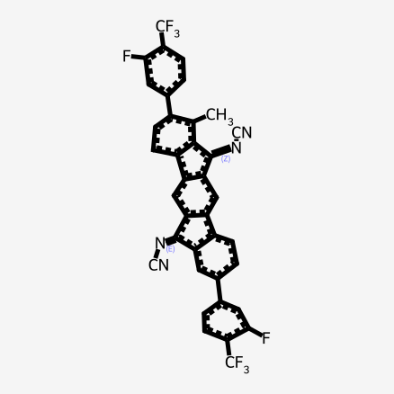 Cc1c(-c2ccc(C(F)(F)F)c(F)c2)ccc2c1/c(=N\C#N)c1cc3c(cc12)/c(=N/C#N)c1cc(-c2ccc(C(F)(F)F)c(F)c2)ccc13